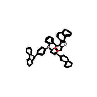 c1ccc(N(c2ccc(-c3ccc4ccccc4c3)cc2)c2ccc(-c3cc4ccccc4c4ccccc34)cc2)c(-c2cccc3oc4c5ccccc5ccc4c23)c1